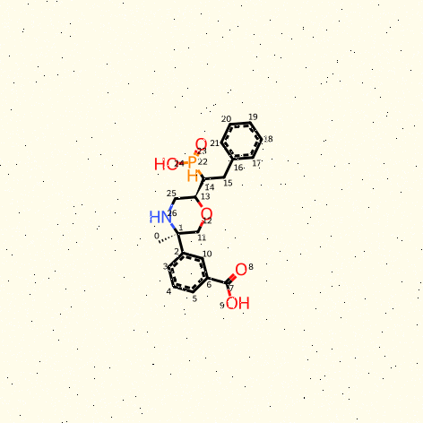 C[C@@]1(c2cccc(C(=O)O)c2)CO[C@H](C(Cc2ccccc2)[PH](=O)O)CN1